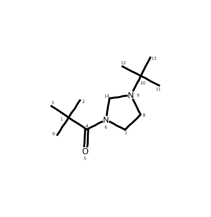 CC(C)(C)C(=O)N1CCN(C(C)(C)C)C1